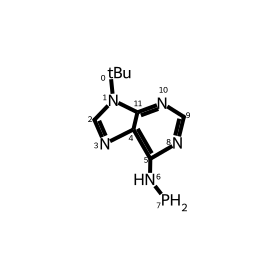 CC(C)(C)n1cnc2c(NP)ncnc21